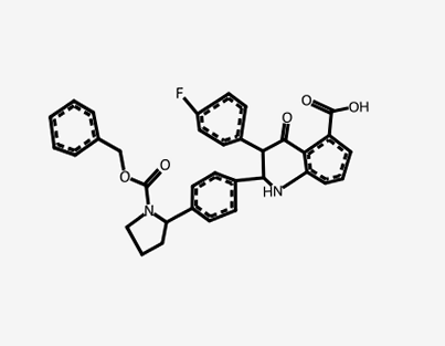 O=C(O)c1cccc2c1C(=O)C(c1ccc(F)cc1)C(c1ccc(C3CCCN3C(=O)OCc3ccccc3)cc1)N2